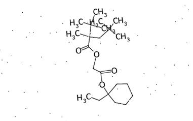 CCC1(OC(=O)COC(=O)C(C)(CC(C)(C)C)C(C)(C)C)CCCCC1